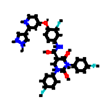 Cn1cc(-c2cc(Oc3ccc(NC(=O)c4cn(-c5ccc(F)cc5)c(=O)n(-c5ccc(F)cc5)c4=O)cc3F)ccn2)cn1